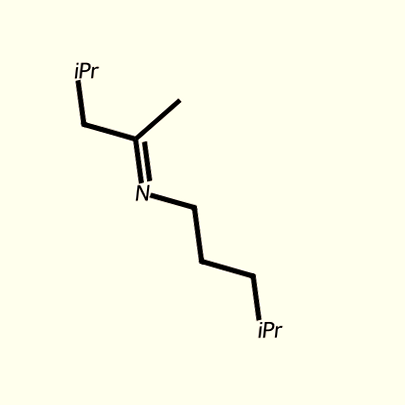 C/C(CC(C)C)=N\CCCC(C)C